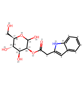 O=C(Cc1cc2ccccc2[nH]1)O[C@@H]1C(O)O[C@H](CO)[C@@H](O)[C@@H]1O